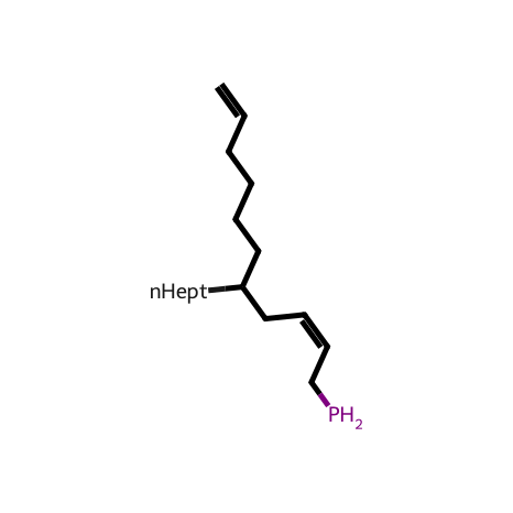 C=CCCCCC(C/C=C\CP)CCCCCCC